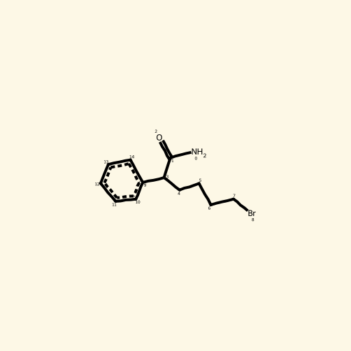 NC(=O)C(CCCCBr)c1ccccc1